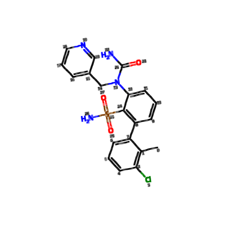 Cc1c(Cl)cccc1-c1cccc(N(Cc2cccnc2)C(N)=O)c1S(N)(=O)=O